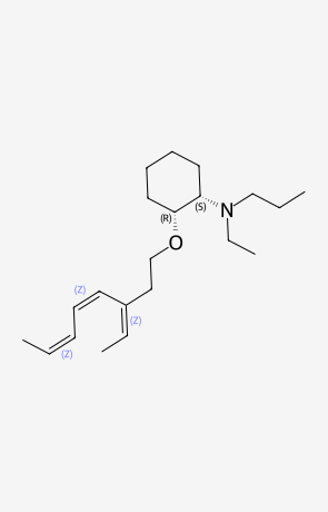 C\C=C/C=C\C(=C/C)CCO[C@@H]1CCCC[C@@H]1N(CC)CCC